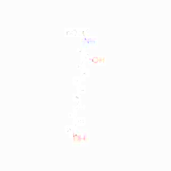 CCCCCCCCNCC(O)CCCCCCCCCO